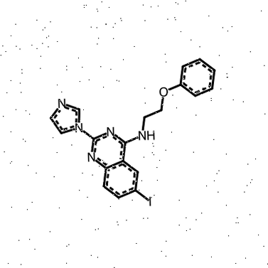 Ic1ccc2nc(-n3ccnc3)nc(NCCOc3ccccc3)c2c1